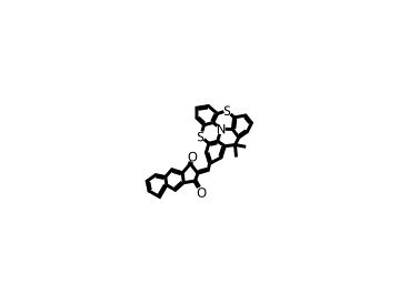 CC1(C)c2cccc3c2N2c4c(cccc4Sc4cc(C=C5C(=O)c6cc7ccccc7cc6C5=O)cc1c42)S3